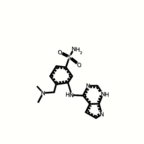 CN(C)Cc1ccc(S(N)(=O)=O)cc1Nc1nc[nH]c2nccc1-2